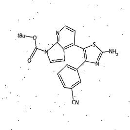 CC(C)(C)OC(=O)n1ccc2c(-c3sc(N)nc3-c3cccc(C#N)c3)ccnc21